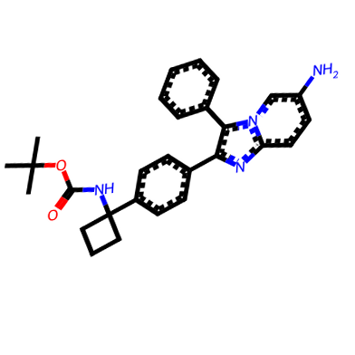 CC(C)(C)OC(=O)NC1(c2ccc(-c3nc4ccc(N)cn4c3-c3ccccc3)cc2)CCC1